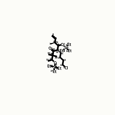 C=C[C@H](C)C(O[Si](CC)(CC)CC)[C@@H](CCCCCl)C(=O)C(C)(C)C(C)O[Si](CC)(CC)CC